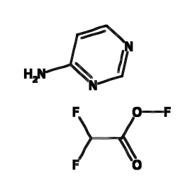 Nc1ccncn1.O=C(OF)C(F)F